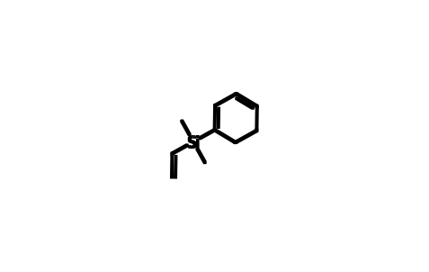 C=C[Si](C)(C)C1=CC=CCC1